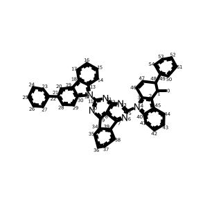 CC1c2c(n(-c3nc4c5c(nc(-n6c7ccccc7c7cc(-c8ccccc8)ccc76)nc5n3)-c3ccccc3-4)c3ccccc23)C=CC1c1ccccc1